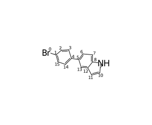 Brc1ccc(-c2ccc3[nH]ccc3c2)cc1